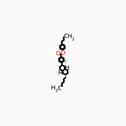 C=CCCc1ccc(OC(=O)c2ccc(C3CC[C@H]4C[C@@H](CCCCCC)CC[C@@H]4C3)c(F)c2)cc1